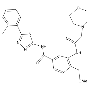 COCc1ccc(C(=O)Nc2nnc(-c3ccccc3C)s2)cc1NC(=O)CN1CCOCC1